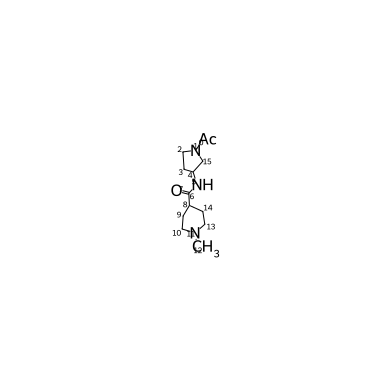 CC(=O)N1CCC(NC(=O)C2CCN(C)CC2)C1